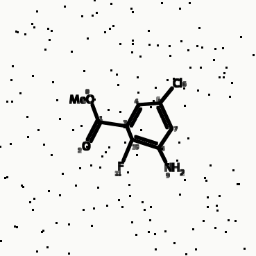 COC(=O)c1cc(Cl)cc(N)c1F